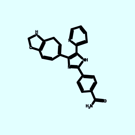 NC(=O)c1ccc(-c2nc(C3=CCC4=C(C=C3)OCN4)c(-c3ccccn3)[nH]2)cc1